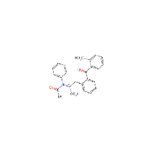 CCC(=O)N(c1ccccc1)[C@H](Cc1ccccc1C(=O)c1ccccc1C(=O)O)C(=O)O